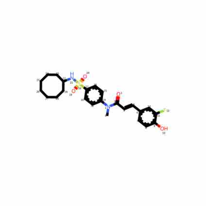 CN(C(=O)C=Cc1ccc(O)c(F)c1)c1ccc(S(=O)(=O)NC2CCCCCCC2)cc1